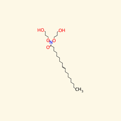 CCCCCCCCC=CCCCCCCCC(=O)N(OCCCO)OCCCO